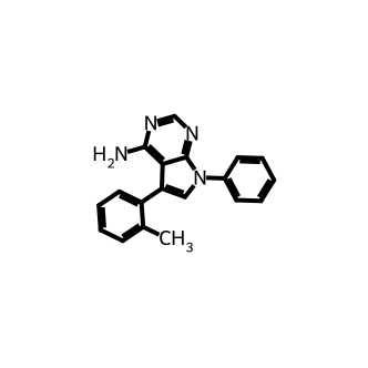 Cc1ccccc1-c1cn(-c2ccccc2)c2ncnc(N)c12